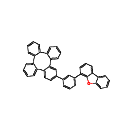 c1cc(-c2ccc3c(c2)-c2ccccc2-c2ccccc2-c2ccccc2-3)cc(-c2cccc3c2oc2ccccc23)c1